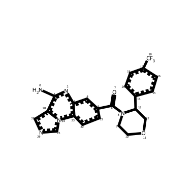 Nc1nc2cc(C(=O)N3CCOCC3c3ccc(C(F)(F)F)cc3)ccc2n2cncc12